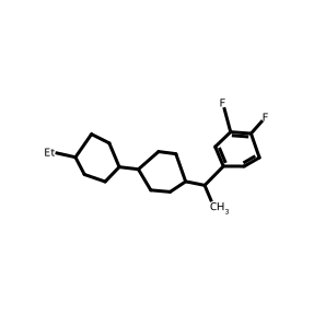 CCC1CCC(C2CCC(C(C)c3ccc(F)c(F)c3)CC2)CC1